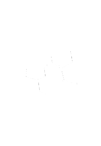 CC(C)[CH2][Al]([CH2]C(C)C)[CH2]C(C)C.CC(C)[CH2][Al]([CH2]C(C)C)[CH2]C(C)C